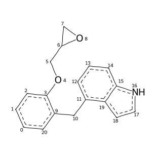 c1ccc(OCC2CO2)c(Cc2cccc3[nH]ccc23)c1